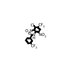 O=C(Nc1c([N+](=O)[O-])cc(C(F)(F)F)c(Cl)c1[N+](=O)[O-])c1cccc(C(F)(F)F)c1